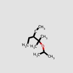 [CH2]CC(CC)C(C)(C)OC(C)C